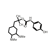 CNC1CCC(CC(C)(C)OC(=O)Nc2ccc(O)cc2)CC1NC